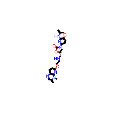 C=C1COc2ccc(N3C[C@H](CNCCOc4ccc5c(n4)N(C)C(=C)C=N5)OC3=O)nc2N1